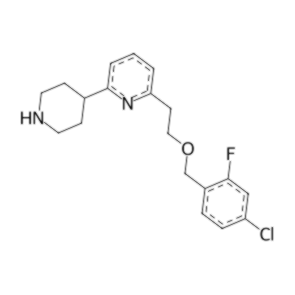 Fc1cc(Cl)ccc1COCCc1cccc(C2CCNCC2)n1